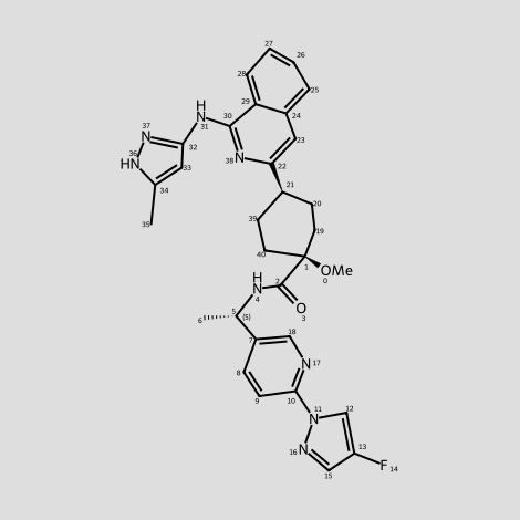 CO[C@]1(C(=O)N[C@@H](C)c2ccc(-n3cc(F)cn3)nc2)CC[C@H](c2cc3ccccc3c(Nc3cc(C)[nH]n3)n2)CC1